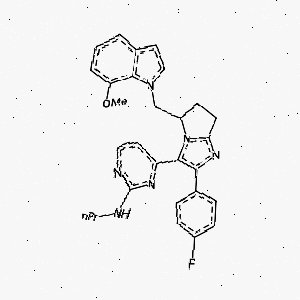 CCCNc1nccc(-c2c(-c3ccc(F)cc3)nc3n2C(Cn2ccc4cccc(OC)c42)CC3)n1